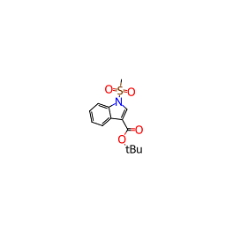 CC(C)(C)OC(=O)c1cn(S(C)(=O)=O)c2ccccc12